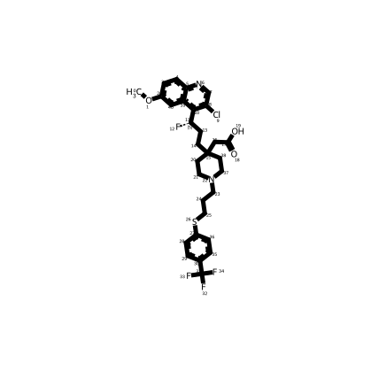 COc1ccc2ncc(Cl)c([C@@H](F)CCC3(CC(=O)O)CCN(CCCSc4ccc(C(F)(F)F)cc4)CC3)c2c1